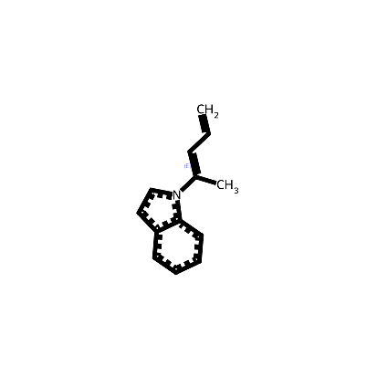 C=C/C=C(\C)n1ccc2ccccc21